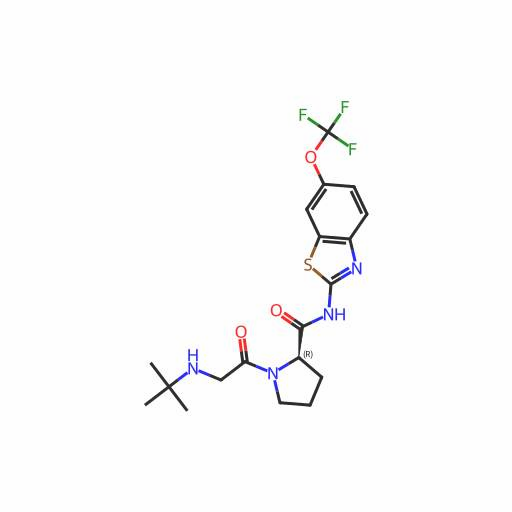 CC(C)(C)NCC(=O)N1CCC[C@@H]1C(=O)Nc1nc2ccc(OC(F)(F)F)cc2s1